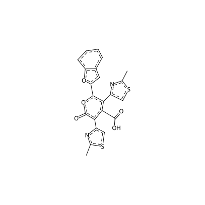 Cc1nc(-c2c(-c3cc4ccccc4o3)oc(=O)c(-c3csc(C)n3)c2C(=O)O)cs1